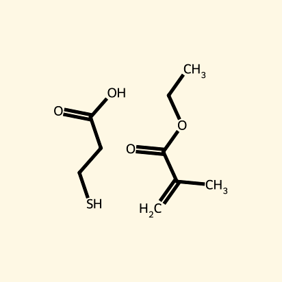 C=C(C)C(=O)OCC.O=C(O)CCS